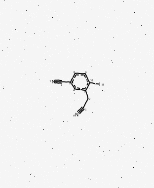 N#CCc1cc(C#N)ccc1I